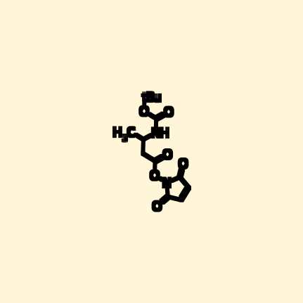 CC(CC(=O)ON1C(=O)C=CC1=O)NC(=O)OC(C)(C)C